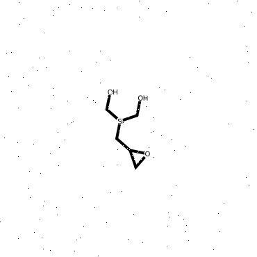 OC[Si](CO)CC1CO1